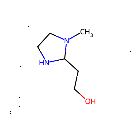 CN1CCNC1CCO